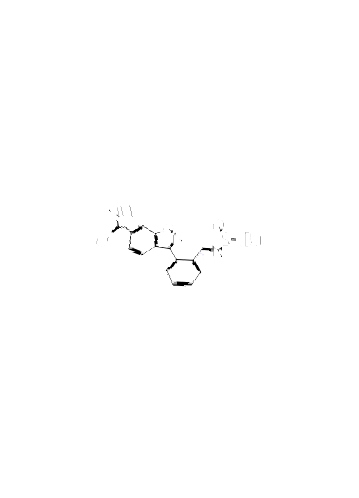 CC(C)(C)[S+]([O-])/N=C/c1ccccc1-c1noc2cc(C(N)=O)ccc12